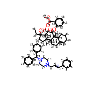 C(=C\c1ccccc1)/CN1CCN(C(c2ccccc2)c2ccccc2)CC1.CC[C@]1(O)CC[C@H]2[C@@H]3CCC4=CCCC[C@@H]4[C@H]3CC[C@@]21C.COC(=O)c1ccccc1O